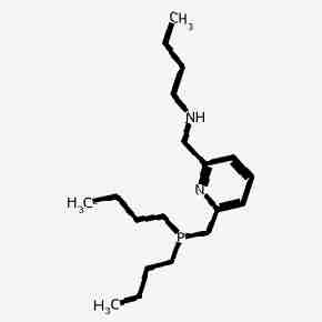 CCCCNCc1cccc(CP(CCCC)CCCC)n1